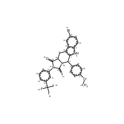 COc1ccc(C2c3[nH]c4ccc(Br)cc4c3CC3C(=O)N(c4cccc(C(F)(F)F)c4)C(=S)N32)cc1